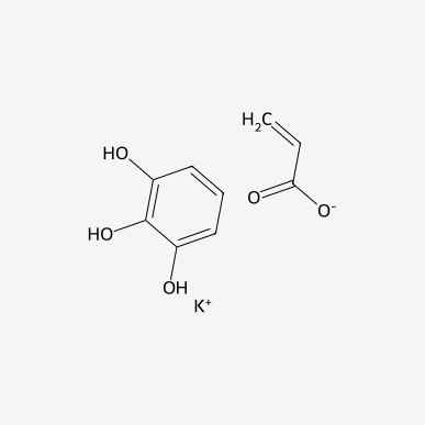 C=CC(=O)[O-].Oc1cccc(O)c1O.[K+]